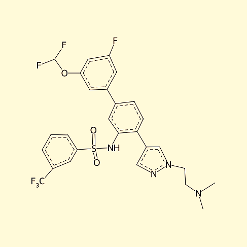 CN(C)CCn1cc(-c2ccc(-c3cc(F)cc(OC(F)F)c3)cc2NS(=O)(=O)c2cccc(C(F)(F)F)c2)cn1